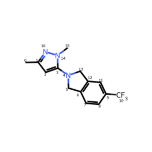 Cc1cc(N2Cc3ccc(C(F)(F)F)cc3C2)n(C)n1